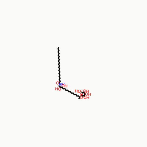 CCCCCCCCCCCCCCCCCCCCCCCC(=O)N[C@@H](C)[C@H](O)[C@H](O)CCCCCCCCCCCCC(C)O[C@H]1O[C@H](CO)[C@H](O)[C@H](O)[C@H]1O